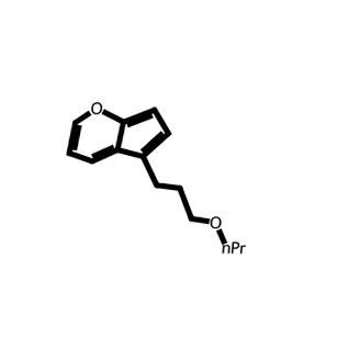 [CH2]CCOCCCc1ccc2occcc1-2